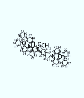 CC1(C)c2cc3cc(N(c4cccc(-c5ccccc5)c4)c4cccc5c4oc4ccccc45)ccc3cc2-c2c1cc(N(c1cccc(-c3ccccc3)c1)c1cccc3c1oc1ccccc13)c1ccccc21